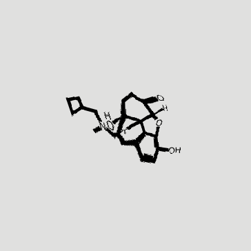 CCCC12c3c4ccc(O)c3O[C@H]1C(=O)CC[C@@]2(O)C(N(C)CC1CCC1)C4